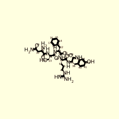 N=C(N)NCCC[C@H](NC(=O)[C@H](Cc1ccccc1)NC(=O)[C@H](CO)NC(=O)[C@@H](N)CC(N)=O)C(=O)N[C@@H](Cc1ccc(O)cc1)C(N)=O